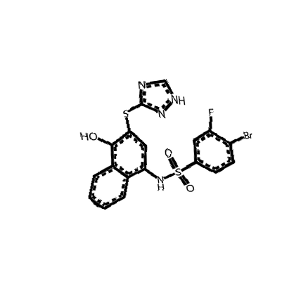 O=S(=O)(Nc1cc(Sc2nc[nH]n2)c(O)c2ccccc12)c1ccc(Br)c(F)c1